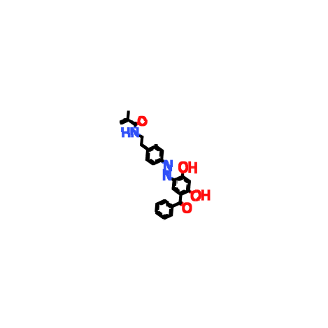 C=C(C)C(=O)NCCc1ccc(N=Nc2cc(C(=O)c3ccccc3)c(O)cc2O)cc1